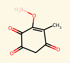 BOC1=C(C)C(=O)CC(=O)C1=O